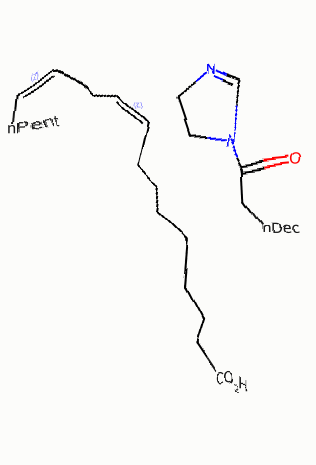 CCCCC/C=C\C/C=C\CCCCCCCC(=O)O.CCCCCCCCCCCC(=O)N1C=NCC1